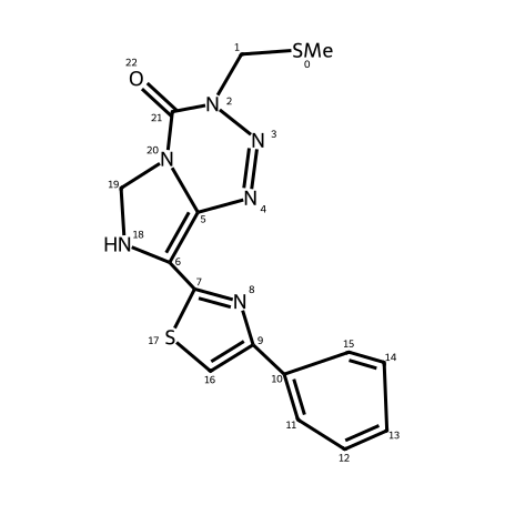 CSCN1N=NC2=C(c3nc(-c4ccccc4)cs3)NCN2C1=O